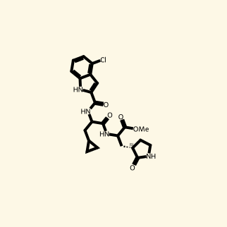 COC(=O)C(C[C@@H]1CCNC1=O)NC(=O)C(CC1CC1)NC(=O)c1cc2c(Cl)cccc2[nH]1